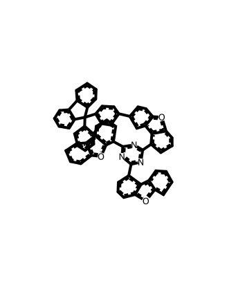 c1ccc2c(c1)-c1ccccc1C21c2ccccc2-c2cc(-c3ccc4oc5cccc(-c6nc(-c7cccc8c7oc7ccccc78)nc(-c7cccc8oc9ccccc9c78)n6)c5c4c3)ccc21